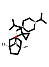 CC(C)CC1(CN2[C@@H]3CC[C@H]2C[C@H](CN2CCN(C(C)C)CC2)C3)CC1